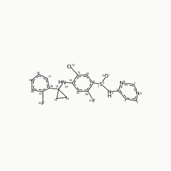 [O-][S+](Nc1ccncn1)c1cc(Cl)c(NC2(c3ccccc3F)CC2)cc1F